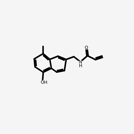 C=CC(=O)NCc1ccc2c(O)ccc(C)c2c1